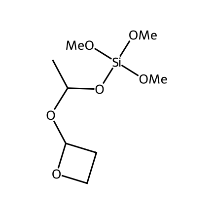 CO[Si](OC)(OC)OC(C)OC1CCO1